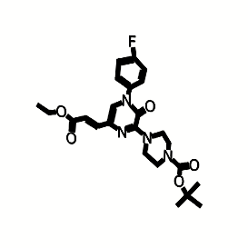 CCOC(=O)/C=C/c1cn(-c2ccc(F)cc2)c(=O)c(N2CCN(C(=O)OC(C)(C)C)CC2)n1